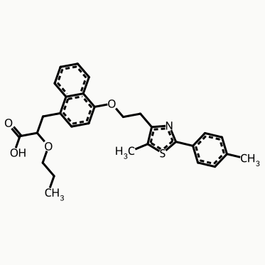 CCCOC(Cc1ccc(OCCc2nc(-c3ccc(C)cc3)sc2C)c2ccccc12)C(=O)O